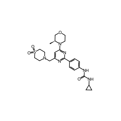 C[C@H]1COCCN1c1cc(CN2CCS(=O)(=O)CC2)nc(-c2ccc(NC(=O)NC3CC3)cc2)n1